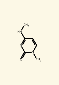 CNc1ccn(C)c(=O)n1